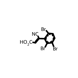 N#CC(=CC(=O)O)c1c(Br)ccc(Br)c1Br